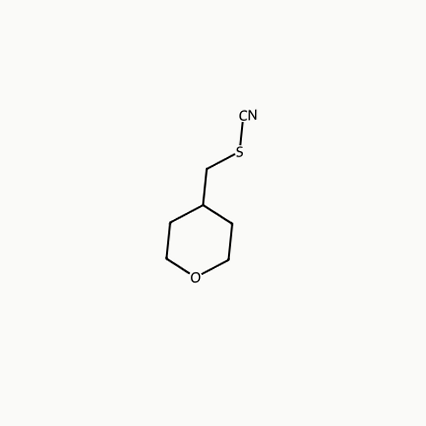 N#CSCC1CCOCC1